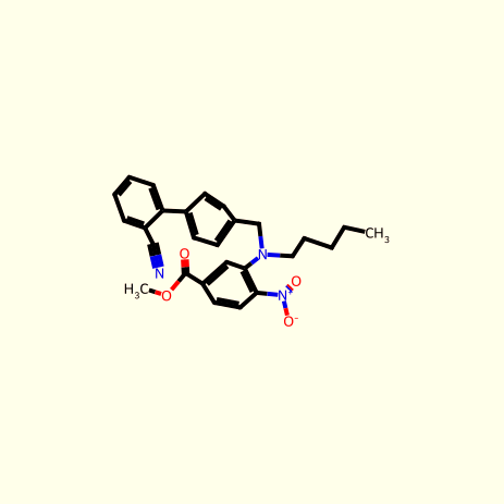 CCCCCN(Cc1ccc(-c2ccccc2C#N)cc1)c1cc(C(=O)OC)ccc1[N+](=O)[O-]